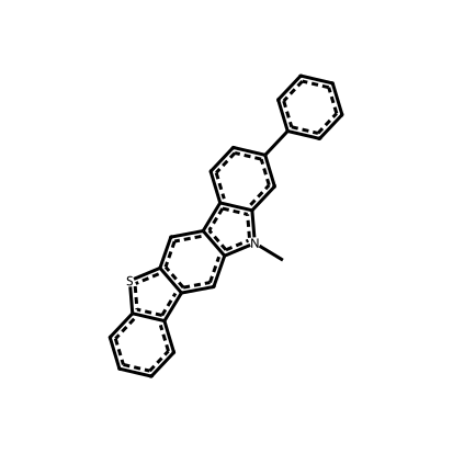 Cn1c2cc(-c3ccccc3)ccc2c2cc3sc4ccccc4c3cc21